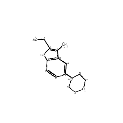 Cc1c(CO)oc2ccc(N3CCOCC3)cc12